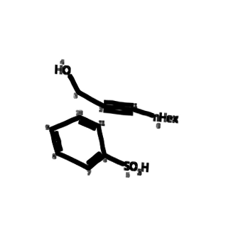 CCCCCCC#CCO.O=S(=O)(O)c1ccccc1